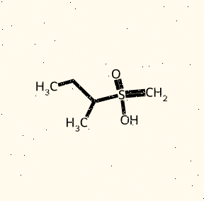 C=S(=O)(O)C(C)CC